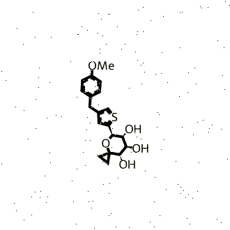 COc1ccc(Cc2csc([C@@H]3OC4(CC4)[C@@H](O)[C@H](O)[C@H]3O)c2)cc1